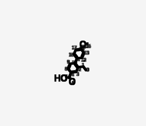 CCc1cc(C(=O)O)ccc1-c1ccc(OC)cc1